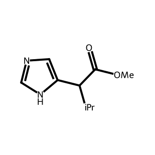 COC(=O)C(c1cnc[nH]1)C(C)C